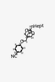 CCCCCCCC12OCC(COc3ccc(C#N)cc3)(CO1)CO2